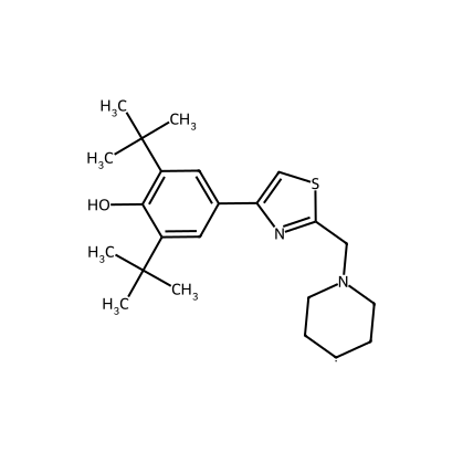 CC(C)(C)c1cc(-c2csc(CN3CC[CH]CC3)n2)cc(C(C)(C)C)c1O